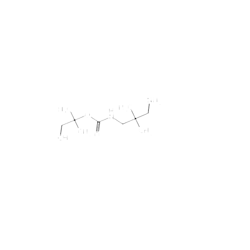 CCC(C)(C)OC(=O)NCC(C)(C)CN